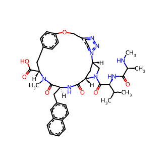 CN[C@@H](C)C(=O)N[C@H](C(=O)N1C[C@@H]2C[C@H]1C(=O)N[C@@H](Cc1ccc3ccccc3c1)C(=O)N(C)[C@H](C(=O)O)Cc1ccc(cc1)OCc1cn2nn1)C(C)C